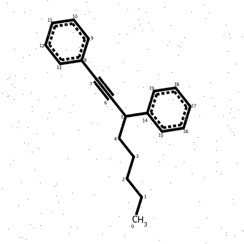 CCCCCC(C#Cc1ccccc1)c1ccccc1